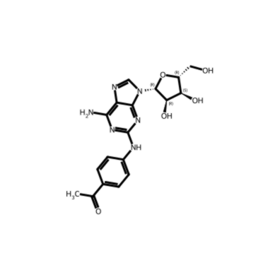 CC(=O)c1ccc(Nc2nc(N)c3ncn([C@@H]4O[C@H](CO)[C@@H](O)[C@H]4O)c3n2)cc1